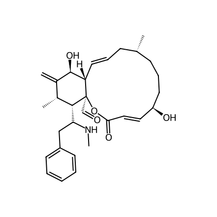 C=C1[C@@H](C)[C@@H](C(Cc2ccccc2)NC)[C@]2(C=O)OC(=O)/C=C/[C@H](O)CCC[C@@H](C)C/C=C/[C@H]2[C@@H]1O